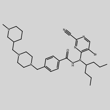 CCCC(CCC)N(NC(=O)c1ccc(CN2CCN(CC3CCCN(C)C3)CC2)cc1)c1nc(C#N)ncc1Br